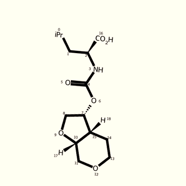 CC(C)C[C@H](NC(=O)O[C@H]1CO[C@H]2COCC[C@H]21)C(=O)O